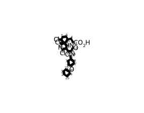 O=C(NC(Cc1ccc(Cl)cc1)C(=O)O)c1nc(-c2ccc(Oc3ccccc3)cc2)oc1-c1ccc(Cl)nc1Cl